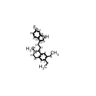 CCc1cc2c(cc1CC)C(CCc1c[nH]c3cc(F)ccc13)N(C)CC2